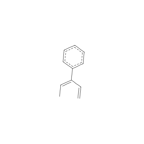 C=C/C(=C\C)c1ccccc1